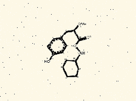 COC(Cc1ccc(O)cc1)C(=O)ONC1CCCCC1